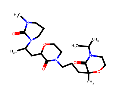 CC(C)N1CCOC(C)(CCCN2CCOC(CC(C)N3CCCN(C)C3=O)C2=O)C1=O